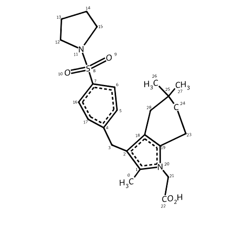 Cc1c(Cc2ccc(S(=O)(=O)N3CCCC3)cc2)c2c(n1CC(=O)O)CCC(C)(C)C2